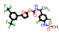 CC(NC(=O)Oc1ccc(-c2cc(C(F)(F)F)cc(C(F)(F)F)c2)o1)c1cc(F)c(NS(C)(=O)=O)c(F)c1